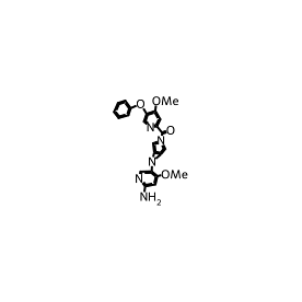 COc1cc(C(=O)n2cc3c(c2)N3c2cnc(N)cc2OC)ncc1Oc1ccccc1